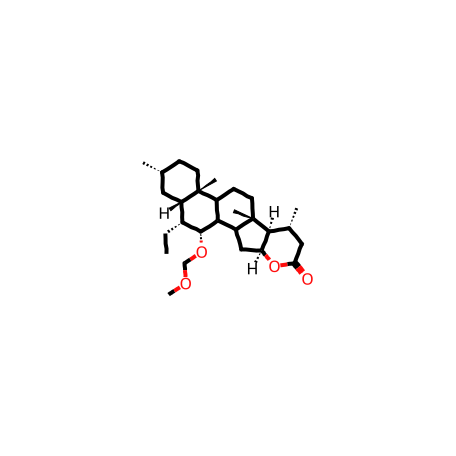 CC[C@H]1[C@@H](OCOC)C2C3C[C@@H]4OC(=O)C[C@@H](C)[C@@H]4[C@@]3(C)CCC2[C@@]2(C)CC[C@@H](C)C[C@@H]12